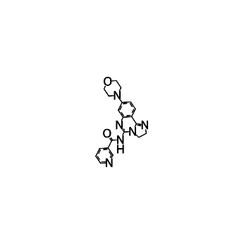 O=C(NC1=Nc2cc(N3CCOCC3)ccc2C2=NCCN12)c1cccnc1